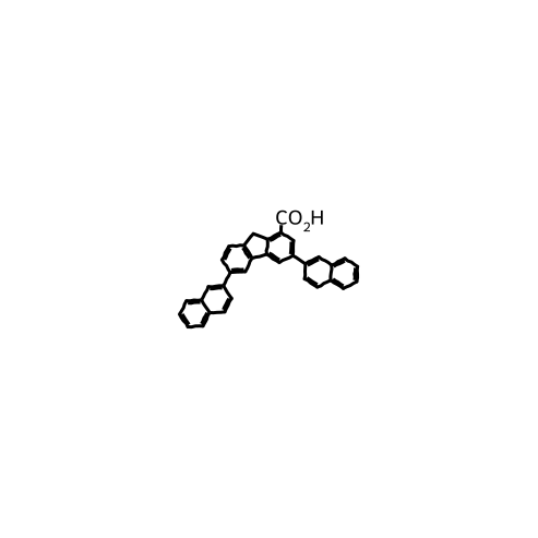 O=C(O)c1cc(-c2ccc3ccccc3c2)cc2c1Cc1ccc(-c3ccc4ccccc4c3)cc1-2